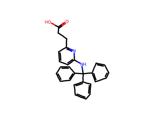 O=C(O)CCc1cccc(NC(c2ccccc2)(c2ccccc2)c2ccccc2)n1